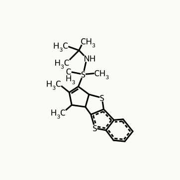 CC1=C(S(C)(C)NC(C)(C)C)C2Sc3c(sc4ccccc34)C2C1C